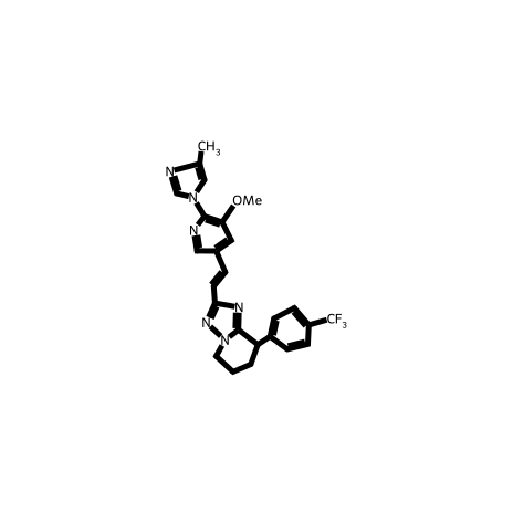 COc1cc(C=Cc2nc3n(n2)CCCC3c2ccc(C(F)(F)F)cc2)cnc1-n1cnc(C)c1